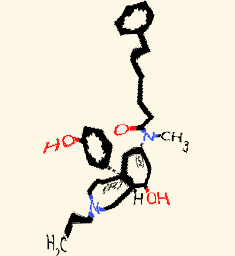 C=CCN1CC[C@@]2(c3cccc(O)c3)C[C@H](N(C)C(=O)CCCCCc3ccccc3)CC(O)[C@@H]2C1